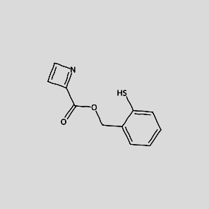 O=C(OCc1ccccc1S)C1=NC=C1